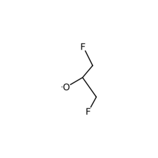 [O]C(CF)CF